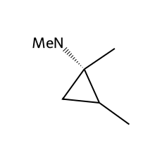 CN[C@@]1(C)CC1C